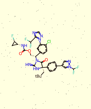 CC(C)(C)C[C@]1(c2ccc(-c3cnn(C(F)F)c3)cc2)NC(=N)N([C@H](COC(=O)N[C@@H]2C[C@H]2F)c2ccc(Cl)c(-n3ncnc3C(F)F)c2)C1=O